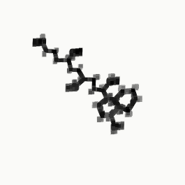 OCCCC(O)CCC(O)CCC(O)c1ccc(O)c2ccccc12